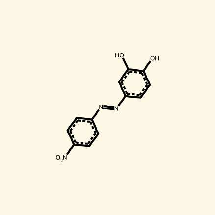 O=[N+]([O-])c1ccc(/N=N/c2ccc(O)c(O)c2)cc1